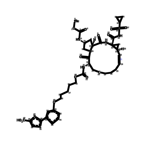 CC(C)(C)OC(=O)N[C@@H]1C[C@H]2C(=O)N[C@]3(C(=O)NS(=O)(=O)C4CC4)C[C@H]3/C=C\CCCCC[C@H](NC(=O)OCCCCCOc3cccc(-c4nc(C(=O)O)cs4)c3)C(=O)N2C1